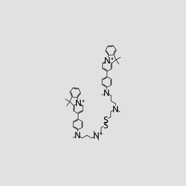 CN(CCCN(C)c1ccc(-c2cc[n+]3c(c2)C(C)(C)c2ccccc2-3)cc1)CCSSCC[N+](C)(C)CCCN(C)c1ccc(-c2cc[n+]3c(c2)C(C)(C)c2ccccc2-3)cc1